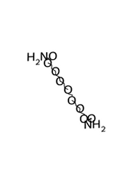 NC(=O)OCCOCCOCCOCCOCCOCCOC(N)=O